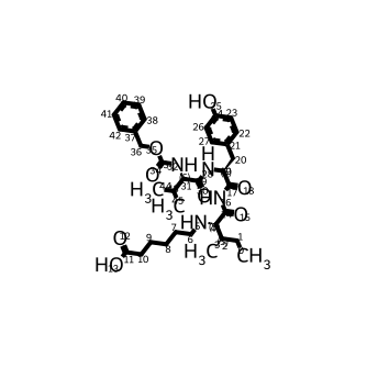 CC[C@H](C)[C@H](NCCCCCC(=O)O)C(=O)NC(=O)[C@H](Cc1ccc(O)cc1)NC(=O)[C@@H](NC(=O)OCc1ccccc1)C(C)C